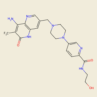 Nc1c(C(F)(F)F)c(=O)[nH]c2cc(CN3CCN(c4ccc(C(=O)NCCO)nc4)CC3)cnc12